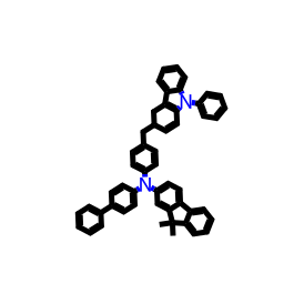 CC1(C)c2ccccc2-c2ccc(N(c3ccc(CC4C=Cc5c(c6ccccc6n5-c5ccccc5)C4)cc3)c3ccc(-c4ccccc4)cc3)cc21